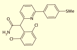 CSc1ccc(-c2cccc(C(C(N)=O)c3c(Cl)cccc3Cl)n2)cc1